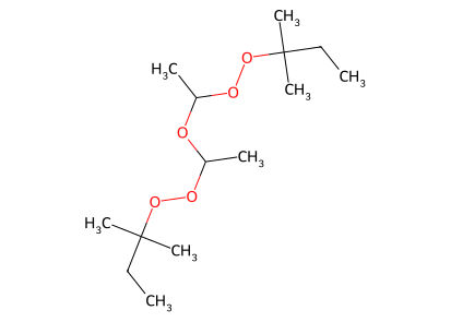 CCC(C)(C)OOC(C)OC(C)OOC(C)(C)CC